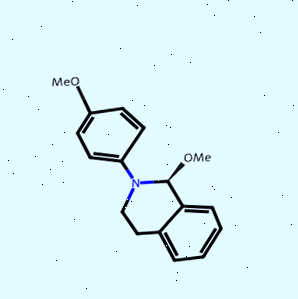 COc1ccc(N2CCc3ccccc3[C@@H]2OC)cc1